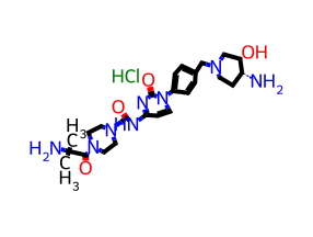 CC(C)(N)C(=O)N1CCN(C(=O)Nc2ccn(-c3ccc(CN4CC[C@@H](N)[C@@H](O)C4)cc3)c(=O)n2)CC1.Cl